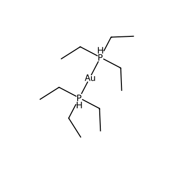 CC[PH](CC)(CC)[Au][PH](CC)(CC)CC